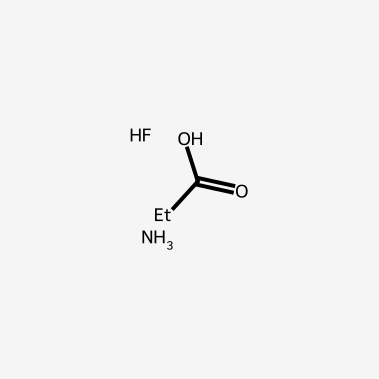 CCC(=O)O.F.N